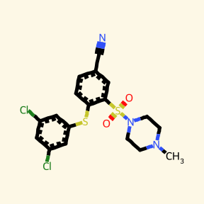 CN1CCN(S(=O)(=O)c2cc(C#N)ccc2Sc2cc(Cl)cc(Cl)c2)CC1